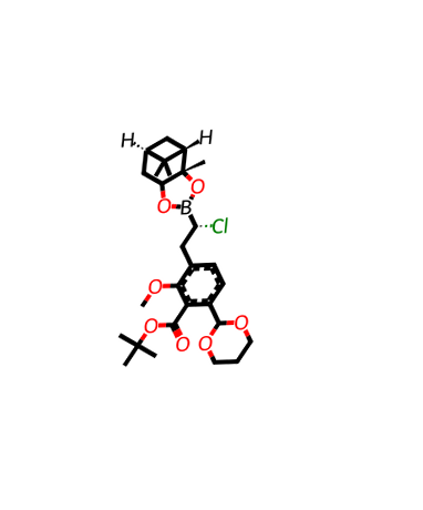 COc1c(C[C@@H](Cl)B2OC3C[C@H]4C[C@@H](C4(C)C)[C@]3(C)O2)ccc(C2OCCCO2)c1C(=O)OC(C)(C)C